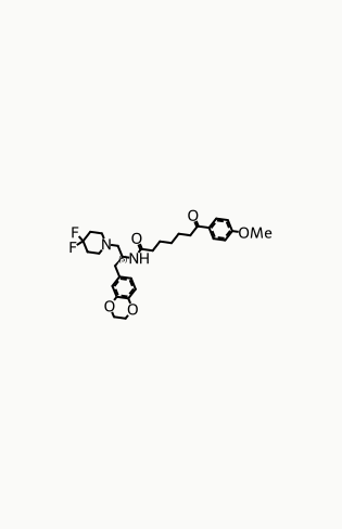 COc1ccc(C(=O)CCCCCC(=O)N[C@@H](Cc2ccc3c(c2)OCCO3)CN2CCC(F)(F)CC2)cc1